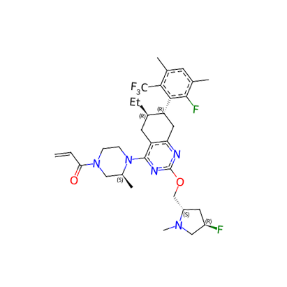 C=CC(=O)N1CCN(c2nc(OC[C@@H]3C[C@@H](F)CN3C)nc3c2C[C@@H](CC)[C@H](c2c(F)c(C)cc(C)c2C(F)(F)F)C3)[C@@H](C)C1